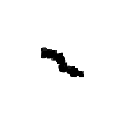 COC(=O)c1cc2c(nc(C3CC34CCC(c3cccc(OCc5ccc(C#N)cc5C)n3)CC4)n2C)o1